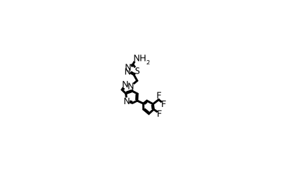 Nc1nnc(Cn2ncc3ncc(-c4ccc(F)c(C(F)F)c4)cc32)s1